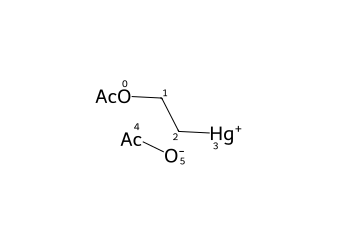 CC(=O)OC[CH2][Hg+].CC(=O)[O-]